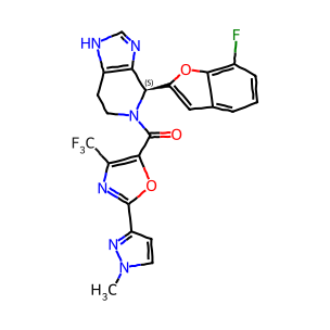 Cn1ccc(-c2nc(C(F)(F)F)c(C(=O)N3CCc4[nH]cnc4[C@H]3c3cc4cccc(F)c4o3)o2)n1